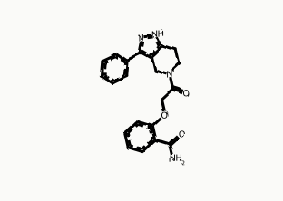 NC(=O)c1ccccc1OCC(=O)N1CCc2[nH]nc(-c3ccccc3)c2C1